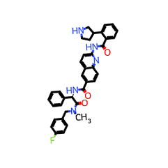 CN(Cc1ccc(F)cc1)C(=O)[C@@H](NC(=O)c1ccc2nc(NC(=O)c3ccccc3C3CCNC3)ccc2c1)c1ccccc1